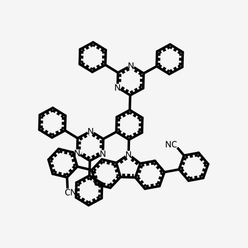 N#Cc1ccccc1-c1ccc2c3ccc(-c4ccccc4C#N)cc3n(-c3ccc(-c4cc(-c5ccccc5)nc(-c5ccccc5)n4)cc3-c3nc(-c4ccccc4)nc(-c4ccccc4)n3)c2c1